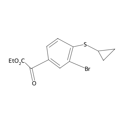 CCOC(=O)C(=O)c1ccc(SC2CC2)c(Br)c1